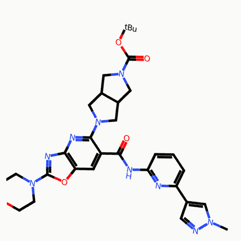 Cn1cc(-c2cccc(NC(=O)c3cc4oc(N5CCOCC5)nc4nc3N3CC4CN(C(=O)OC(C)(C)C)CC4C3)n2)cn1